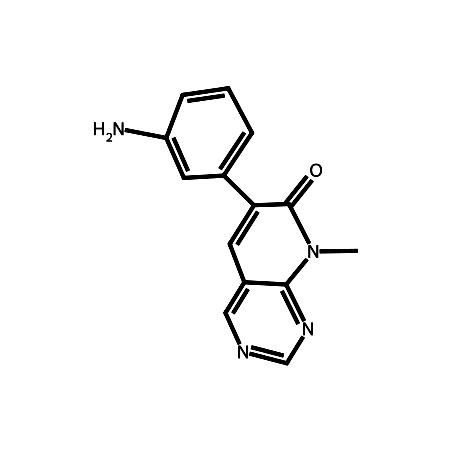 Cn1c(=O)c(-c2cccc(N)c2)cc2cncnc21